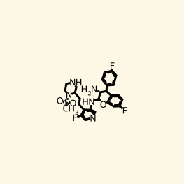 CS(=O)(=O)N1CCNCC1CCc1c(F)cncc1NC(=O)[C@@H](N)C(c1ccc(F)cc1)c1ccc(F)cc1